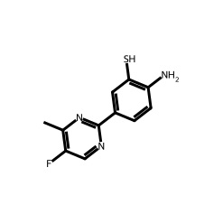 Cc1nc(-c2ccc(N)c(S)c2)ncc1F